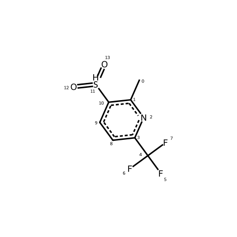 Cc1nc(C(F)(F)F)ccc1[SH](=O)=O